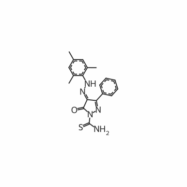 Cc1cc(C)c(N/N=C2/C(=O)N(C(N)=S)N=C2c2ccccc2)c(C)c1